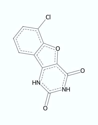 O=c1[nH]c(=O)c2oc3c(Cl)cccc3c2[nH]1